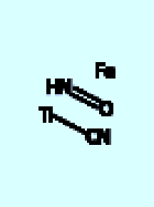 N#[C][Ti].N=O.[Fe]